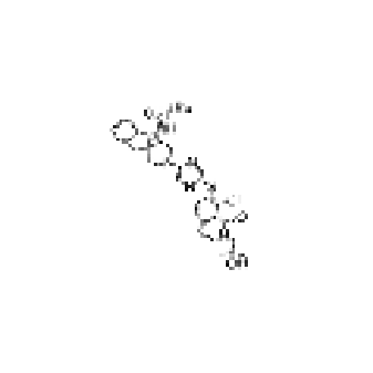 CC(C)(O)Cn1cnc2ccc(Sc3cnc(N4CCC5(CC4)Cc4ccccc4[C@H]5N[S+]([O-])C(C)(C)C)cn3)c(Cl)c2c1=O